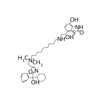 C[N+](C)(CCCCCCCCCNC[C@@H](O)c1ccc(O)c2[nH]c(=O)sc12)Cc1cnc(C(O)(c2ccccc2)C2CCCCC2)o1